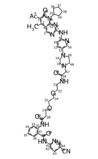 CC(=O)c1c(C)c2cnc(Nc3ccc(N4CCN(CC(=O)NCCOCCOCCC(=O)Nc5ccccc5C(=O)Nc5ccc(C#N)nn5)CC4)cn3)nc2n(C2CCCC2)c1=O